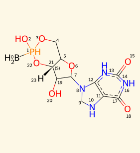 B[PH]1(O)OCC2OC(N3CNc4c3[nH]c(=O)[nH]c4=O)C(O)[C@@H]2O1